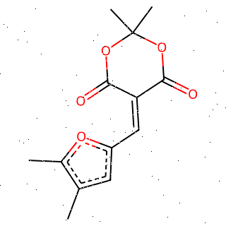 Cc1cc(C=C2C(=O)OC(C)(C)OC2=O)oc1C